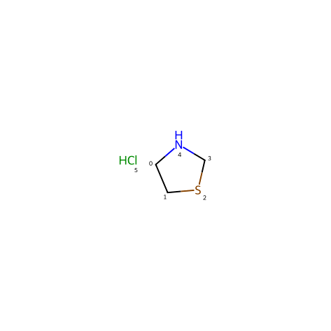 C1CSCN1.Cl